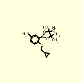 CC1(C)OB(c2cc(N)ccc2OCC2CC2)OC1(C)C